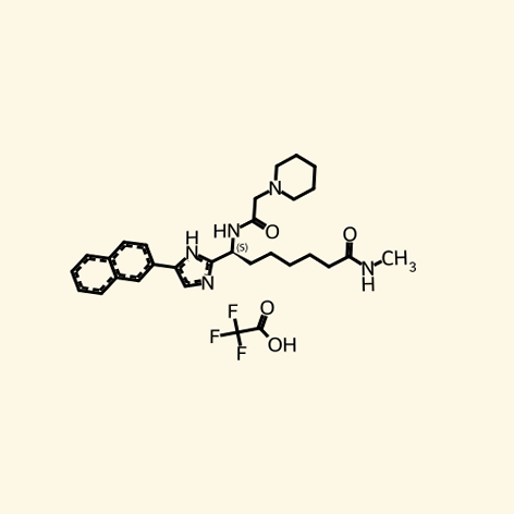 CNC(=O)CCCCC[C@H](NC(=O)CN1CCCCC1)c1ncc(-c2ccc3ccccc3c2)[nH]1.O=C(O)C(F)(F)F